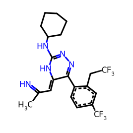 CC(=N)/C=C1\NC(NC2CCCCC2)=NN=C1c1ccc(C(F)(F)F)cc1CC(F)(F)F